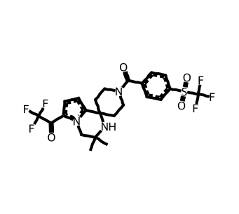 CC1(C)Cn2c(C(=O)C(F)(F)F)ccc2C2(CCN(C(=O)c3ccc(S(=O)(=O)C(F)(F)F)cc3)CC2)N1